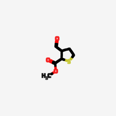 COC(=O)C1SCCC1C=O